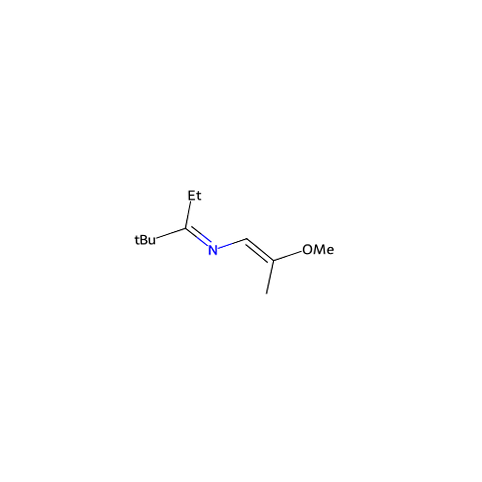 CC/C(=N\C=C(/C)OC)C(C)(C)C